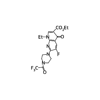 CCOC(=O)c1cn(CC)c2nc(N3CCN(C(=O)C(F)(F)F)CC3)c(F)cc2c1=O